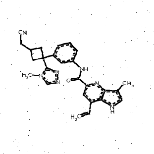 C=Cc1cc(C(=O)Nc2cccc(C3(c4nncn4C)CC(CC#N)C3)c2)nc2c(C)c[nH]c12